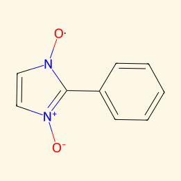 [O]n1cc[n+]([O-])c1-c1ccccc1